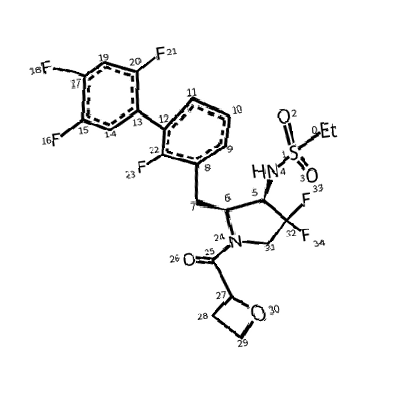 CCS(=O)(=O)N[C@@H]1[C@H](Cc2cccc(-c3cc(F)c(F)cc3F)c2F)N(C(=O)C2CCO2)CC1(F)F